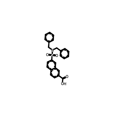 O=C(O)c1ccc2ccc(S(=O)(=O)N(Cc3ccccc3)Cc3ccccc3)cc2c1